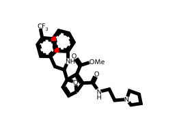 COC(=O)C1=C(C(=O)NCCN2CCCC2)C2C=CC1(C(Cc1ccc(C(F)(F)F)cc1)Nc1ccccc1)O2